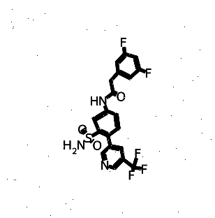 NS(=O)(=O)c1cc(NC(=O)Cc2cc(F)cc(F)c2)ccc1-c1cncc(C(F)(F)F)c1